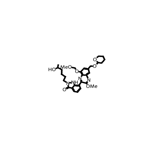 COCOc1cc(COC2CCCCO2)cc2nc(OC)c(-c3cccc4c(=O)n(CCCCC(C)O)[nH]c34)nc12